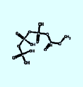 CO[PH](=O)OP(=O)(O)OP(=O)(O)OP(=O)(O)O